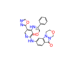 O=c1c2ccc(Nc3cc(N[C@H](CO)c4ccccc4)c(-c4nnco4)cn3)cc2n2n1COCC2